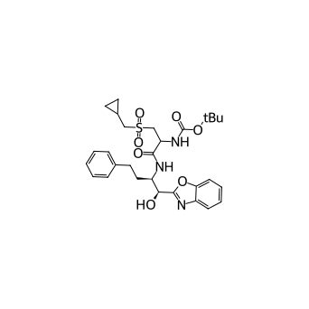 CC(C)(C)OC(=O)NC(CS(=O)(=O)CC1CC1)C(=O)N[C@H](CCc1ccccc1)[C@H](O)c1nc2ccccc2o1